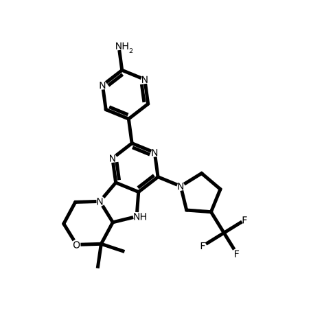 CC1(C)OCCN2c3nc(-c4cnc(N)nc4)nc(N4CCC(C(F)(F)F)C4)c3NC21